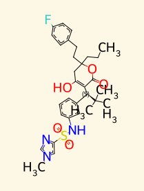 CCCC1(CCc2ccc(F)cc2)CC(O)=C([C@H](c2cccc(NS(=O)(=O)c3cn(C)cn3)c2)C(C)(C)C)C(=O)O1